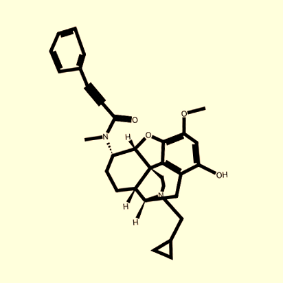 COc1cc(O)c2c3c1O[C@H]1[C@@H](N(C)C(=O)C#Cc4ccccc4)CC[C@H]4[C@@H](C2)N(CC2CC2)CC[C@@]341